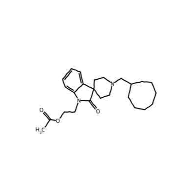 CC(=O)OCCN1C(=O)C2(CCN(CC3CCCCCCC3)CC2)c2ccccc21